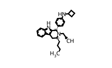 C#CCN1[C@@H](CCCC)Cc2c([nH]c3ccccc23)[C@@H]1c1ccc(NC2CCC2)cc1